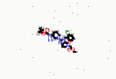 CCOC(=O)Cn1ccc2nc(N3CCC[C@@H](NC(=O)OC(C)(C)C)C3)n(Cc3ccccc3Cl)c2c1=O